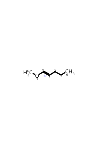 CC[CH]/C=C/OC